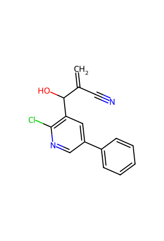 C=C(C#N)C(O)c1cc(-c2ccccc2)cnc1Cl